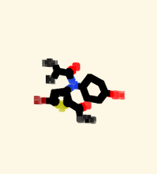 CCCCC(CC)C(=O)N(c1cc(Br)sc1C(=O)OC)C1CCC(O)CC1